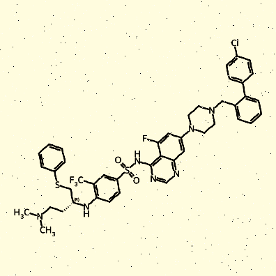 CN(C)CC[C@H](CSc1ccccc1)Nc1ccc(S(=O)(=O)Nc2ncnc3cc(N4CCN(Cc5ccccc5-c5ccc(Cl)cc5)CC4)cc(F)c23)cc1C(F)(F)F